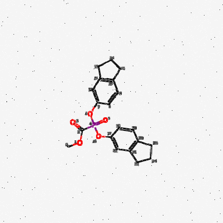 COC(=O)P(=O)(Oc1ccc2c(c1)CCC2)Oc1ccc2c(c1)CCC2